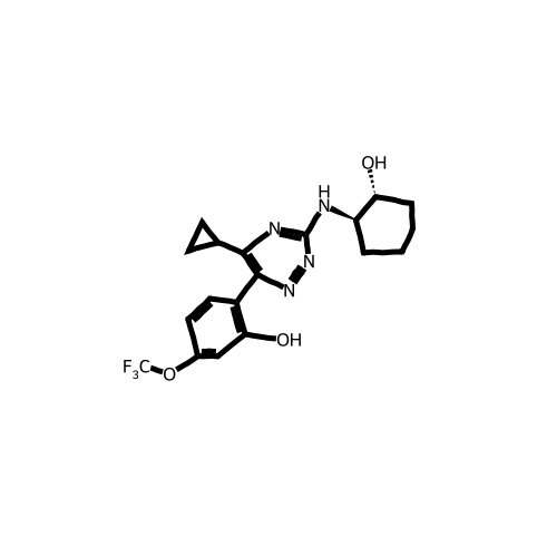 Oc1cc(OC(F)(F)F)ccc1-c1nnc(N[C@@H]2CCCC[C@H]2O)nc1C1CC1